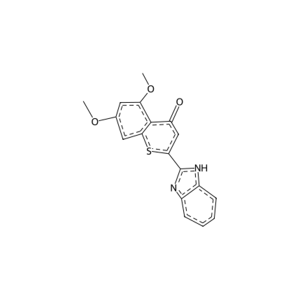 COc1cc(OC)c2c(=O)cc(-c3nc4ccccc4[nH]3)sc2c1